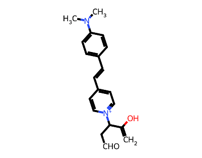 C=C(O)C(CC=O)[n+]1ccc(/C=C/c2ccc(N(C)C)cc2)cc1